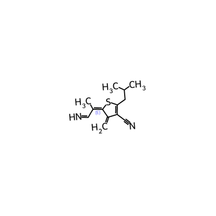 C=c1c(C#N)c(CC(C)C)s/c1=C(\C)C=N